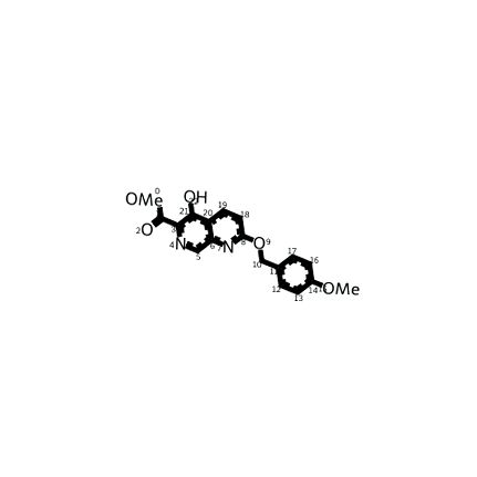 COC(=O)c1ncc2nc(OCc3ccc(OC)cc3)ccc2c1O